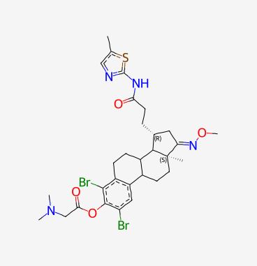 CON=C1C[C@@H](CCC(=O)Nc2ncc(C)s2)C2C3CCc4c(cc(Br)c(OC(=O)CN(C)C)c4Br)C3CC[C@]12C